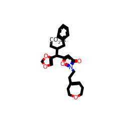 CCOC(=O)CC(Cc1ccccc1)C(C1=COCO1)c1cc(=O)n(CCC2=CCCOCC2)o1